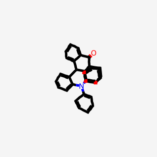 O=C1c2ccccc2C(c2ccccc2N(c2ccccc2)c2ccccc2)C2C=CC=CC12